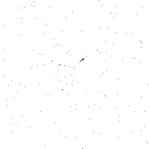 CS[C@@H]1NC(=O)[C@H]1N